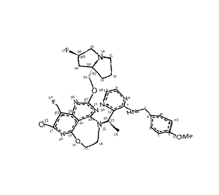 COc1ccc(CNc2nccnc2[C@@H](C)N2CCOc3nc(Cl)c(F)c4nc(OC[C@@]56CCCN5C[C@H](F)C6)nc2c34)cc1